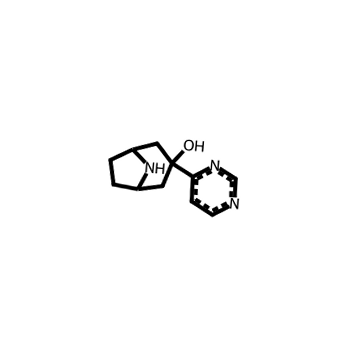 OC1(c2ccncn2)CC2CCC(C1)N2